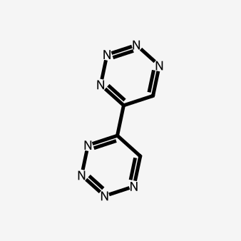 c1nnnnc1-c1cnnnn1